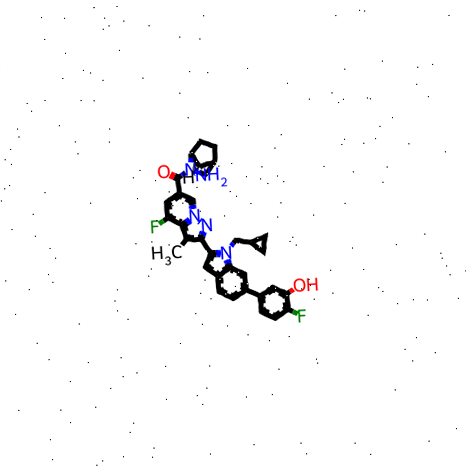 Cc1c(-c2cc3ccc(-c4ccc(F)c(O)c4)cc3n2CC2CC2)nn2cc(C(=O)N3CC4CCC3[C@@H]4N)cc(F)c12